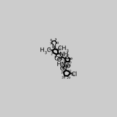 Cc1cc(C)c(N2CCCC2)c(C)c1NC(=O)c1sccc1NS(=O)(=O)c1cccc(Cl)c1